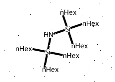 CCCCCC[Si](CCCCCC)(CCCCCC)N[Si](CCCCCC)(CCCCCC)CCCCCC